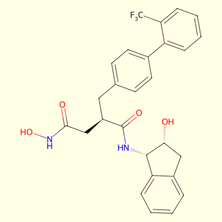 O=C(C[C@@H](Cc1ccc(-c2ccccc2C(F)(F)F)cc1)C(=O)N[C@H]1c2ccccc2C[C@H]1O)NO